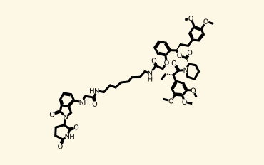 CC[C@H](C(=O)N1CCCC[C@H]1C(=O)O[C@H](CCc1ccc(OC)c(OC)c1)c1ccccc1OCC(=O)NCCCCCCCCNC(=O)CNc1cccc2c1CN(C1CCC(=O)NC1=O)C2=O)c1cc(OC)c(OC)c(OC)c1